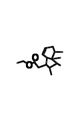 CCOC(=O)CC1C(C)C(C)C2(C)C(C)CC=CC12